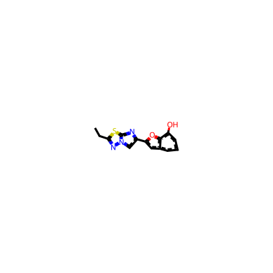 CCc1nn2cc(-c3cc4cccc(O)c4o3)nc2s1